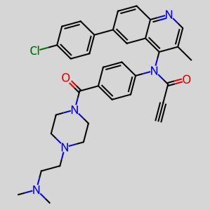 C#CC(=O)N(c1ccc(C(=O)N2CCN(CCN(C)C)CC2)cc1)c1c(C)cnc2ccc(-c3ccc(Cl)cc3)cc12